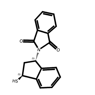 O=C1c2ccccc2C(=O)N1[C@H]1C[C@H](S)c2ccccc21